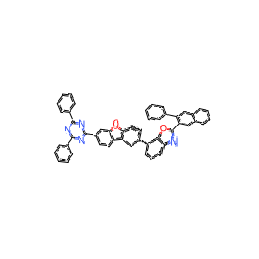 c1ccc(-c2nc(-c3ccccc3)nc(-c3ccc4c(c3)oc3ccc(-c5cccc6nc(-c7cc8ccccc8cc7-c7ccccc7)oc56)cc34)n2)cc1